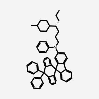 CCC[C@H](CCCN(c1ccccc1)c1ccc2c(c1)C1(c3ccccc3-2)c2ccccc2C(c2ccccc2)(c2ccccc2)c2ccccc21)C1CCC(C)CC1